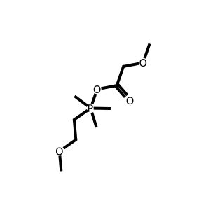 COCCP(C)(C)(C)OC(=O)COC